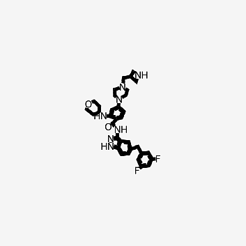 O=C(Nc1n[nH]c2ccc(Cc3cc(F)cc(F)c3)cc12)c1ccc(N2CCN(CC3CNC3)CC2)cc1NC1CCOCC1